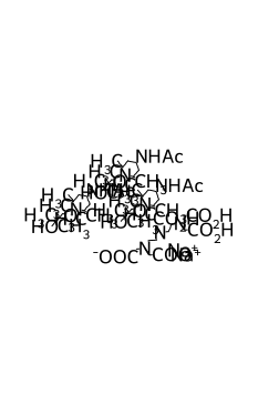 CC(=O)NC1CC(C)(C)N(OCC(C)(C)O)C(C)(C)C1.CC(=O)NC1CC(C)(C)N(OCC(C)(C)O)C(C)(C)C1.CC(=O)NC1CC(C)(C)N(OCC(C)(C)O)C(C)(C)C1.O=C([O-])CN(CCN(CCN(CC(=O)O)CC(=O)O)CC(=O)O)CC(=O)[O-].[Na+].[Na+]